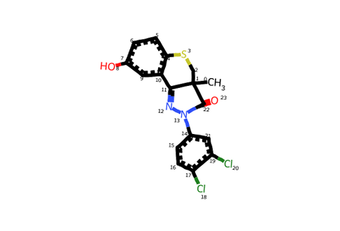 CC12CSc3ccc(O)cc3C1=NN(c1ccc(Cl)c(Cl)c1)C2=O